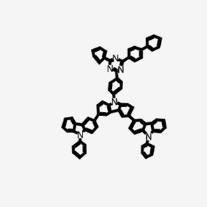 c1ccc(-c2ccc(-c3nc(-c4ccccc4)nc(-c4ccc(-n5c6ccc(-c7ccc8c(c7)c7ccccc7n8-c7ccccc7)cc6c6cc(-c7ccc8c(c7)c7ccccc7n8-c7ccccc7)ccc65)cc4)n3)cc2)cc1